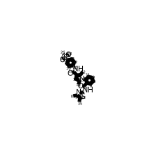 Cc1nc(NC(=O)c2ccccc2-n2c(C)cc(C(=O)Nc3ccc(S(C)(=O)=O)cc3)c2C)sc1C